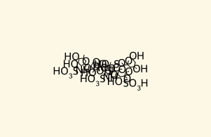 CC1O[C@H](O[C@@H]2C(C(=O)O)O[C@@H](O[C@@H]3C(COS(=O)(=O)O)O[C@H](O)C[C@H]3O)C(OS(=O)(=O)O)[C@H]2O)C(NS(=O)(=O)O)C[C@@H]1O[C@@H]1OC[C@@H](O[C@H]2OC(C)[C@@H](O)[C@H](O)C2NS(=O)(=O)O)[C@H](O)C1O